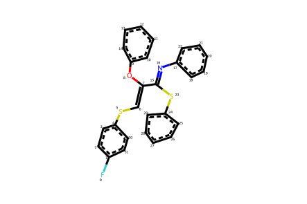 Fc1ccc(SC=C(Oc2ccccc2)C(=Nc2ccccc2)Sc2ccccc2)cc1